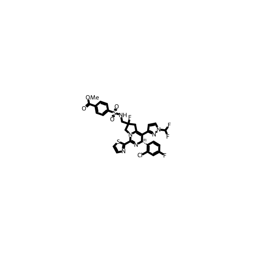 COC(=O)c1ccc(S(=O)(=O)NCC2(F)CC3=C(c4ccn(C(F)F)n4)[C@H](c4ccc(F)cc4Cl)N=C(c4nccs4)N3C2)cc1